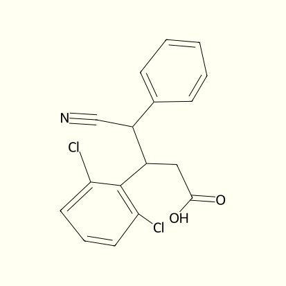 N#CC(c1ccccc1)C(CC(=O)O)c1c(Cl)cccc1Cl